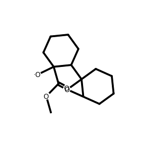 COC(=O)C1([O])CCCCC1C12CCCCC1O2